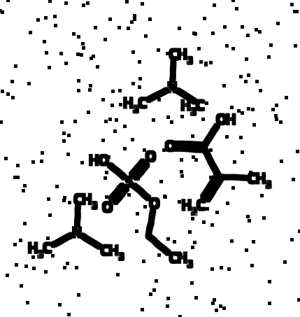 C=C(C)C(=O)O.CCOS(=O)(=O)O.CN(C)C.CN(C)C